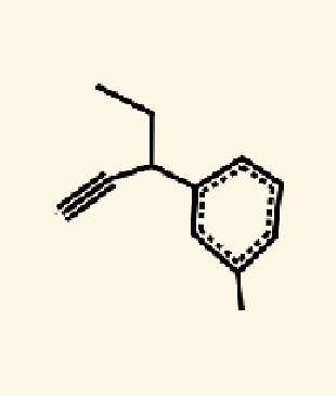 [C]#CC(CC)c1cccc(C)c1